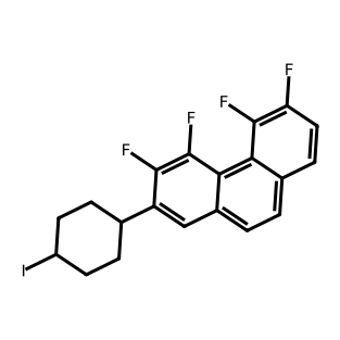 Fc1ccc2ccc3cc(C4CCC(I)CC4)c(F)c(F)c3c2c1F